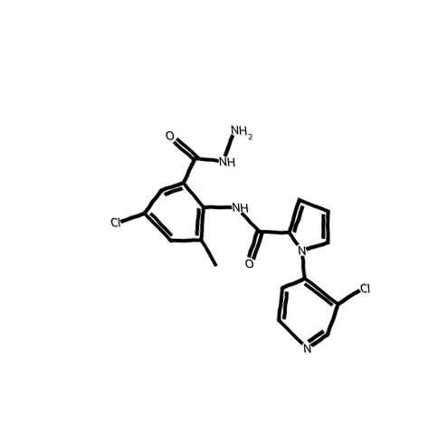 Cc1cc(Cl)cc(C(=O)NN)c1NC(=O)c1cccn1-c1ccncc1Cl